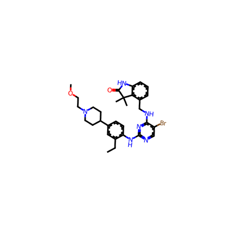 CCc1cc(C2CCN(CCOC)CC2)ccc1Nc1ncc(Br)c(NCc2cccc3c2C(C)(C)C(=O)N3)n1